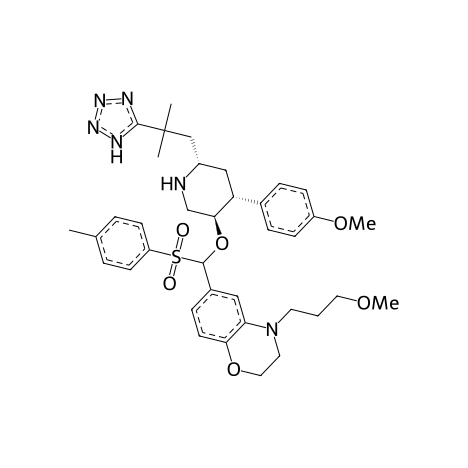 COCCCN1CCOc2ccc(C(O[C@H]3CN[C@H](CC(C)(C)c4nnn[nH]4)C[C@@H]3c3ccc(OC)cc3)S(=O)(=O)c3ccc(C)cc3)cc21